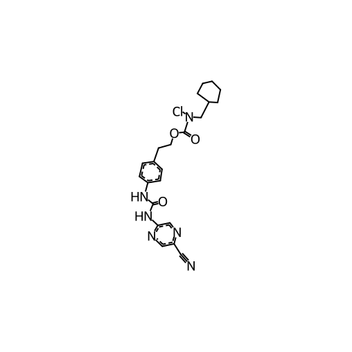 N#Cc1cnc(NC(=O)Nc2ccc(CCOC(=O)N(Cl)CC3CCCCC3)cc2)cn1